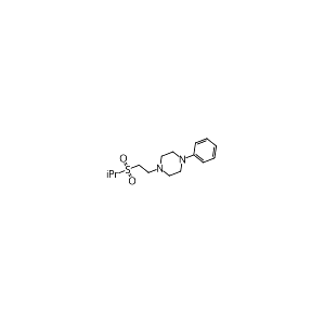 CC(C)S(=O)(=O)CCN1CCN(c2ccccc2)CC1